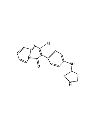 CCc1nc2ccccn2c(=O)c1-c1ccc(NC2CCNC2)cc1